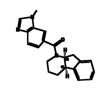 Cn1cnc2ccc(C(=O)N3CCC[C@@H]4c5ccccc5C[C@@H]43)cc21